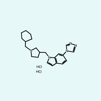 Cl.Cl.c1cc2ccn(CC3CCN(CC4CCCCC4)C3)c2cc1-n1cnnc1